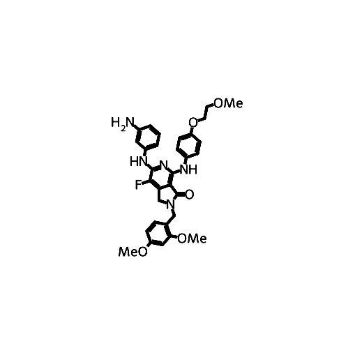 COCCOc1ccc(Nc2nc(Nc3cccc(N)c3)c(F)c3c2C(=O)N(Cc2ccc(OC)cc2OC)C3)cc1